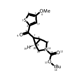 COc1csc(C(=O)C2C3CN(C(=O)OC(C)(C)C)C[C@H]32)c1